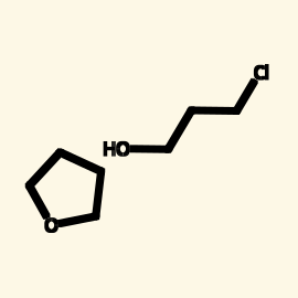 C1CCOC1.OCCCCl